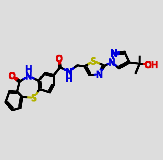 CC(C)(O)c1cnn(-c2ncc(CNC(=O)c3ccc4c(c3)NC(=O)c3ccccc3S4)s2)c1